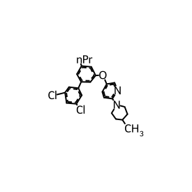 CCCc1cc(Oc2ccc(N3CCC(C)CC3)nc2)cc(-c2cc(Cl)cc(Cl)c2)c1